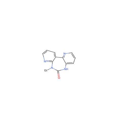 CCN1C(=O)Nc2cccnc2-c2cccnc21